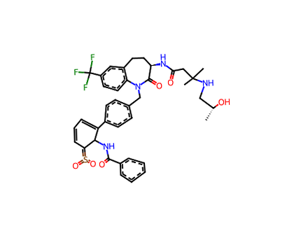 C[C@@H](O)CNC(C)(C)CC(=O)N[C@@H]1CCc2cc(C(F)(F)F)ccc2N(Cc2ccc(C3=CC=CC(=S(=O)=O)C3NC(=O)c3ccccc3)cc2)C1=O